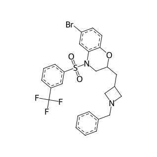 O=S(=O)(c1cccc(C(F)(F)F)c1)N1CC(CC2CN(Cc3ccccc3)C2)Oc2ccc(Br)cc21